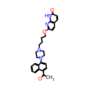 CC(=O)c1ccc(N2CCN(CCCCOc3ccc4ccc(=O)[nH]c4n3)CC2)c2ccccc12